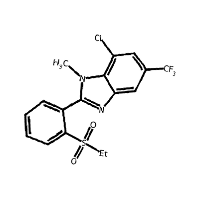 CCS(=O)(=O)c1ccccc1-c1nc2cc(C(F)(F)F)cc(Cl)c2n1C